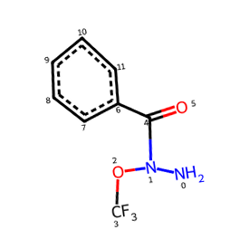 NN(OC(F)(F)F)C(=O)c1ccccc1